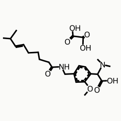 COc1cc(CNC(=O)CCCC/C=C/C(C)C)ccc1C(C(=O)O)N(C)C.O=C(O)C(=O)O